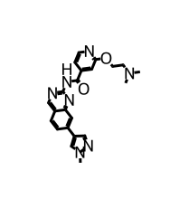 CN(C)CCOc1cc(C(=O)Nc2ncc3ccc(-c4cnn(C)c4)cc3n2)ccn1